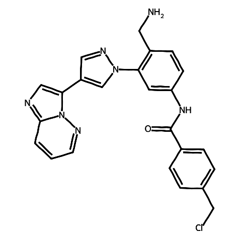 NCc1ccc(NC(=O)c2ccc(CCl)cc2)cc1-n1cc(-c2cnc3cccnn23)cn1